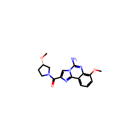 COc1cccc2c1nc(N)n1cc(C(=O)N3CC[C@H](OC)C3)nc21